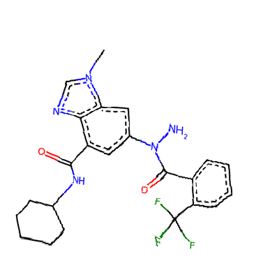 Cn1cnc2c(C(=O)NC3CCCCC3)cc(N(N)C(=O)c3ccccc3C(F)(F)F)cc21